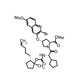 C=CCCC[C@H]1CCC[C@@]1(C)OC(=O)N[C@H](C(=O)N1C[C@H](Oc2cc3cc(OC)ccc3nc2Br)C[C@H]1C(=O)OC)C1CCCC1